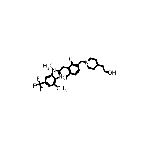 Cc1cc(C(F)(F)F)cc2c1nc(Cc1c(Cl)ccc(CN3CCC(CCO)CC3)c1Cl)n2C